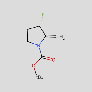 C=C1[C@@H](F)CCN1C(=O)OC(C)(C)C